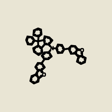 c1ccc(C2(c3ccccc3)c3ccccc3-c3c(N(c4ccc(-c5ccc6c(c5)oc5ccccc56)cc4)c4ccc(-c5ccc6oc7ccccc7c6c5)cc4)cccc32)cc1